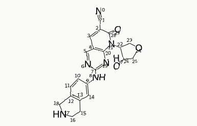 N#Cc1cc2cnc(Nc3ccc4c(c3)CCNC4)nc2n(C2COCC2O)c1=O